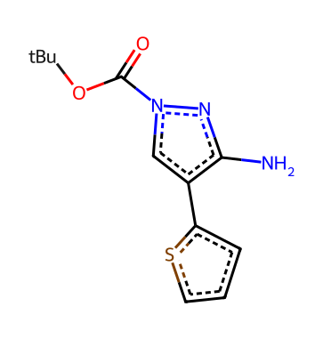 CC(C)(C)OC(=O)n1cc(-c2cccs2)c(N)n1